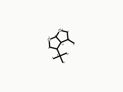 CC1COC2OCC(C(C)(C)C)C12